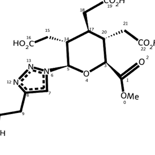 COC(=O)[C@H]1O[C@@H](n2cc(CCO)nn2)[C@H](CC(=O)O)[C@@H](CC(=O)O)[C@@H]1CC(=O)O